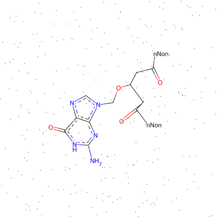 CCCCCCCCCC(=O)CC(CC(=O)CCCCCCCCC)OCn1cnc2c(=O)[nH]c(N)nc21